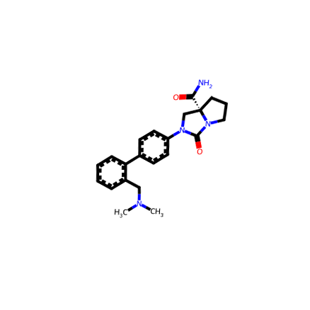 CN(C)Cc1ccccc1-c1ccc(N2C[C@@]3(C(N)=O)[CH]CCN3C2=O)cc1